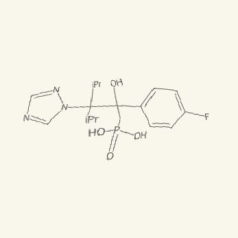 CC(C)C(C(C)C)(n1cncn1)C(O)(c1ccc(F)cc1)P(=O)(O)O